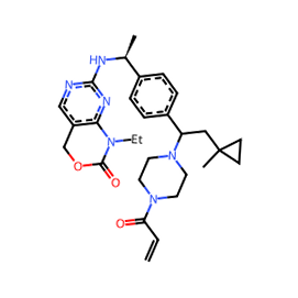 C=CC(=O)N1CCN(C(CC2(C)CC2)c2ccc([C@H](C)Nc3ncc4c(n3)N(CC)C(=O)OC4)cc2)CC1